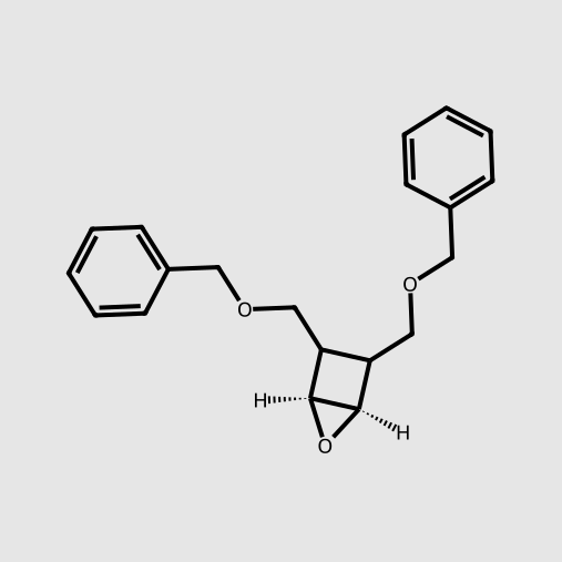 c1ccc(COCC2C(COCc3ccccc3)[C@@H]3O[C@H]23)cc1